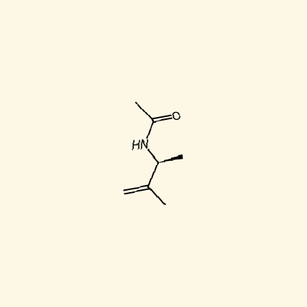 C=C(C)[C@H](C)NC(C)=O